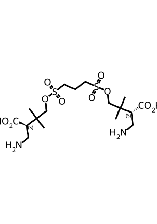 CC(C)(COS(=O)(=O)CCCS(=O)(=O)OCC(C)(C)[C@@H](CN)C(=O)O)[C@@H](CN)C(=O)O